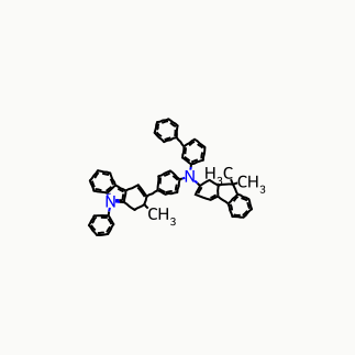 CC1Cc2c(c3ccccc3n2-c2ccccc2)C=C1c1ccc(N(C2=CC=C3c4ccccc4C(C)(C)C3C2)c2cccc(-c3ccccc3)c2)cc1